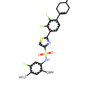 COc1cc(C(=O)O)c(F)cc1NS(=O)(=O)c1csc(-c2ccc(C3=CCC(C(C)C)CC3)c(F)c2F)n1